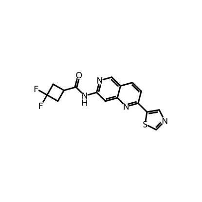 O=C(Nc1cc2nc(-c3cncs3)ccc2cn1)C1CC(F)(F)C1